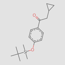 CC(C)(C)[Si](C)(C)Oc1ccc(C(=O)CC2CC2)cc1